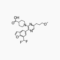 COCCCc1cnc(-c2cc(C(F)F)c3occc3c2)c(N2CCC(C(=O)O)CC2)n1